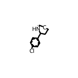 Clc1ccc(C2CCC[CH]N2)cc1